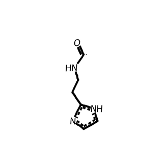 O=[C]NCCc1ncc[nH]1